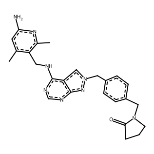 Cc1cc(N)nc(C)c1CNc1ncnc2nn(Cc3ccc(CN4CCCC4=O)cc3)cc12